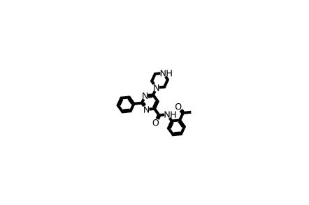 CC(=O)c1ccccc1NC(=O)c1cc(N2CCNCC2)nc(-c2ccccc2)n1